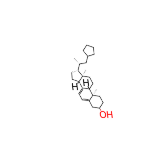 C[C@H](CC1CCCC1)[C@H]1CC[C@H]2C3=CC=C4CC(O)CC[C@]4(C)[C@H]3CC[C@]12C